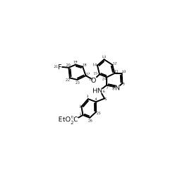 CCOC(=O)c1ccc(CNc2nccc3cccc(Oc4ccc(F)cc4)c23)cc1